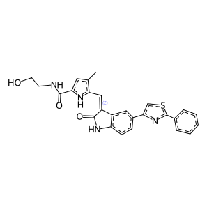 Cc1cc(C(=O)NCCO)[nH]c1/C=C1\C(=O)Nc2ccc(-c3csc(-c4ccccc4)n3)cc21